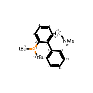 CC(C)(C)P(c1ccccc1-c1ccccc1)C(C)(C)C.CNC